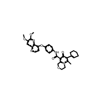 COc1cc2nccc(Oc3ccc(NC(=O)c4c5n(c(C)c(C6=CCCCC6)c4=O)CCOC5)cc3)c2nc1OC